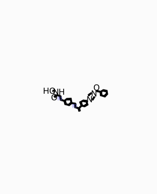 C=C(/C=C/c1ccc(/C=C/C(=O)NO)cc1)c1ccc(N2CCN(C(=O)c3ccccc3)CC2)cc1